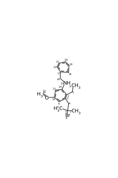 CCc1c(CC(C)(C)Br)cc(OC)cc1NCc1ccccc1